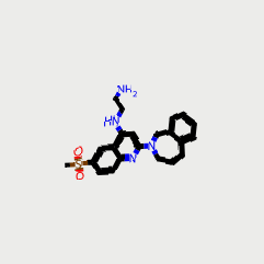 CS(=O)(=O)c1ccc2nc(N3CCCc4ccccc4C3)cc(NCCN)c2c1